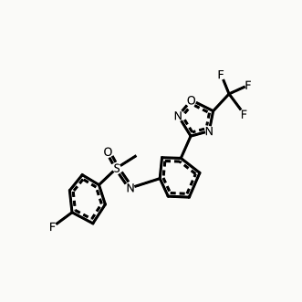 CS(=O)(=Nc1cccc(-c2noc(C(F)(F)F)n2)c1)c1ccc(F)cc1